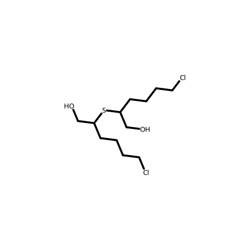 OCC(CCCCCl)SC(CO)CCCCCl